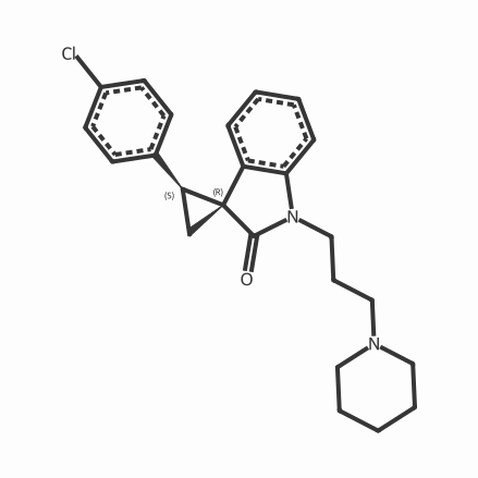 O=C1N(CCCN2CCCCC2)c2ccccc2[C@]12C[C@H]2c1ccc(Cl)cc1